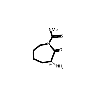 CNC(=S)N1CCCC[C@@H](N)C1=O